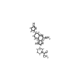 CC(=O)N1CCC[C@H](c2nc3c(N)nc4cc(-c5cc[nH]n5)ccc4c3[nH]2)C1